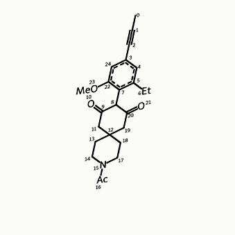 CC#Cc1cc(CC)c(C2C(=O)CC3(CCN(C(C)=O)CC3)CC2=O)c(OC)c1